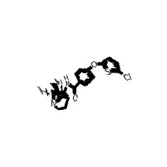 C[C@H]1[C@H](NC(=O)c2ccc(Oc3ccc(Cl)s3)cc2)C2CCN1CC2